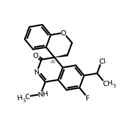 CNC1=NC(=O)[C@@]2(CCOc3ccccc32)c2cc(C(C)Cl)c(F)cc21